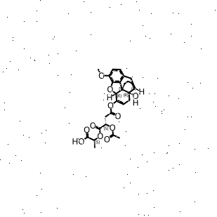 COc1ccc2c3c1O[C@H]1C(OC(=O)C[C@H](OC(C)=O)C(=O)O[C@@H](C)C(=O)O)=CC[C@@]4(O)[C@H](CCC[C@]314)C2